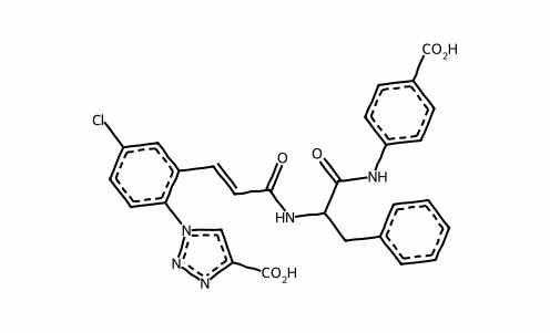 O=C(C=Cc1cc(Cl)ccc1-n1cc(C(=O)O)nn1)NC(Cc1ccccc1)C(=O)Nc1ccc(C(=O)O)cc1